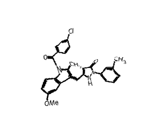 COc1ccc2c(c1)c(Cc1cc(=O)n(-c3cccc(C)c3)[nH]1)c(C)n2C(=O)c1ccc(Cl)cc1